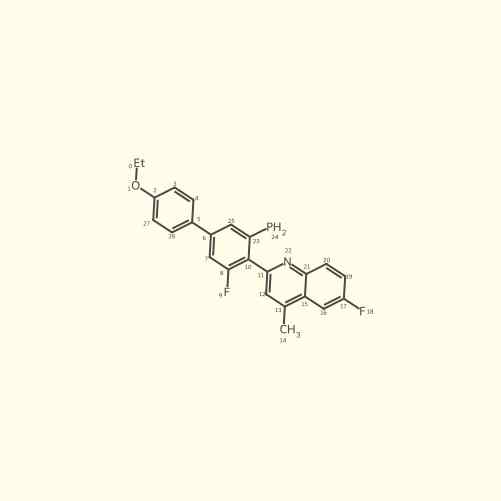 CCOc1ccc(-c2cc(F)c(-c3cc(C)c4cc(F)ccc4n3)c(P)c2)cc1